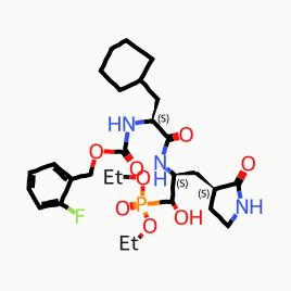 CCOP(=O)(OCC)C(O)[C@H](C[C@@H]1CCNC1=O)NC(=O)[C@H](CC1CCCCC1)NC(=O)OCc1ccccc1F